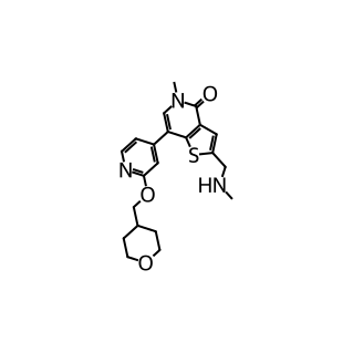 CNCc1cc2c(=O)n(C)cc(-c3ccnc(OCC4CCOCC4)c3)c2s1